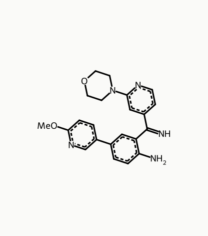 COc1ccc(-c2ccc(N)c(C(=N)c3ccnc(N4CCOCC4)c3)c2)cn1